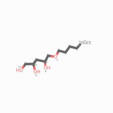 CCCCCCCCCCCCOCC(O)CC(O)CO